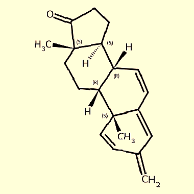 C=C1C=C[C@@]2(C)C(=C1)C=C[C@@H]1[C@H]2CC[C@]2(C)C(=O)CC[C@@H]12